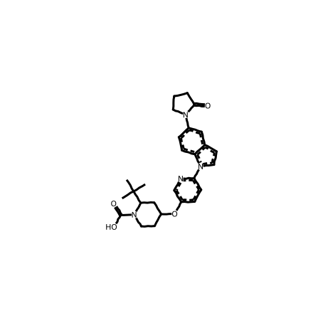 CC(C)(C)C1CC(Oc2ccc(-n3ccc4cc(N5CCCC5=O)ccc43)nc2)CCN1C(=O)O